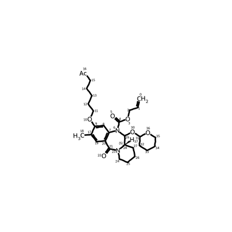 C=CCOC(=O)N1c2cc(OCCCCCC(C)=O)c(C)cc2C(=O)N2CCCC[C@H]2C1OC1CCCCO1